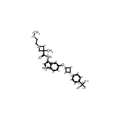 COCCN1CC(C)(C(=O)Nc2c[nH]c3ccc(O[C@H]4C[C@@H](c5ccc(C(F)(F)F)cc5)C4)cc23)C1